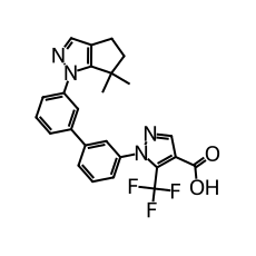 CC1(C)CCc2cnn(-c3cccc(-c4cccc(-n5ncc(C(=O)O)c5C(F)(F)F)c4)c3)c21